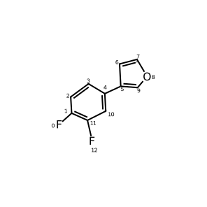 Fc1ccc(-c2c[c]oc2)cc1F